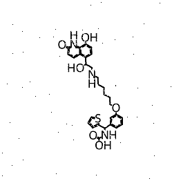 O=C(O)NC(c1cccc(OCCCCCCNCC(O)c2ccc(O)c3[nH]c(=O)ccc23)c1)c1cccs1